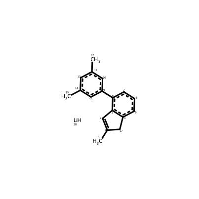 CC1=Cc2c(cccc2-c2cc(C)cc(C)c2)C1.[LiH]